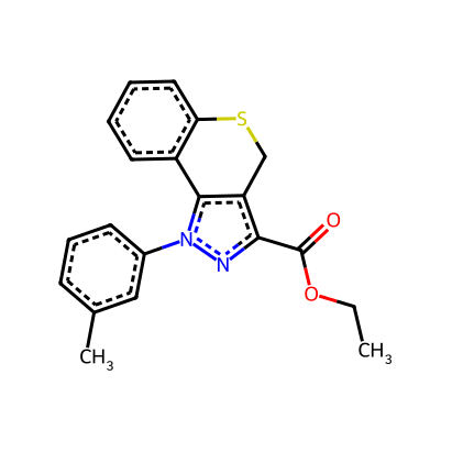 CCOC(=O)c1nn(-c2cccc(C)c2)c2c1CSc1ccccc1-2